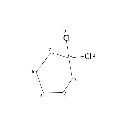 ClC1(Cl)C[CH]CCC1